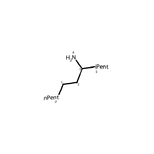 CCCCCCCC(N)C(C)CCC